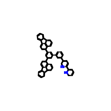 C1=CCNC(C2=CC=C(c3cccc(-c4cc(-c5ccc6c7c(cccc57)-c5ccccc5-6)cc(-c5ccc6c7c(cccc57)-c5ccccc5-6)c4)c3)CN2)=C1